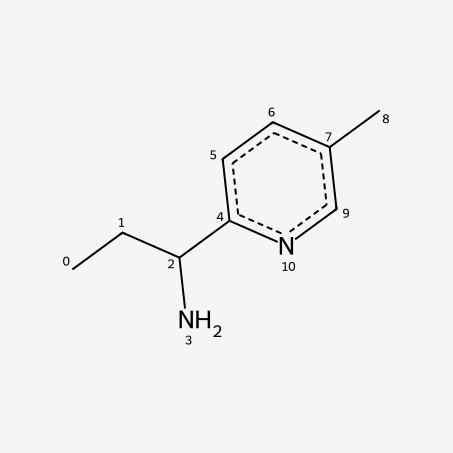 CCC(N)c1ccc(C)cn1